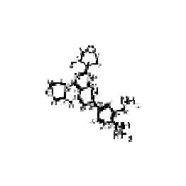 C[C@H]1COCCN1c1nc(N2CCOC[C@@H]2C)c2ccc(-c3ccc(NN)c(CN)c3)nc2n1